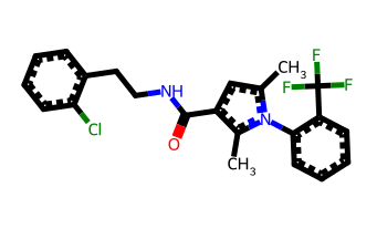 Cc1cc(C(=O)NCCc2ccccc2Cl)c(C)n1-c1ccccc1C(F)(F)F